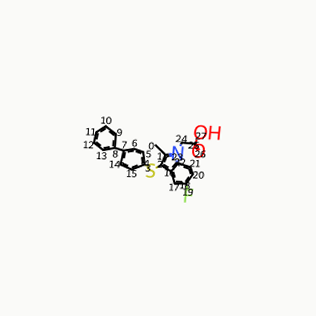 Cc1c(Sc2ccc(-c3ccccc3)cc2)c2cc(F)ccc2n1CC(=O)O